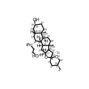 CC(C)CCO.C[C@H]1CC[C@@]2(OC1)O[C@H]1C[C@H]3[C@@H]4CC[C@@H]5C[C@@H](O)CC[C@]5(C)[C@H]4CC[C@]3(C)[C@H]1[C@@H]2C